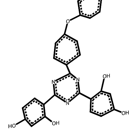 Oc1ccc(-c2nc(-c3ccc(Oc4ccccc4)cc3)nc(-c3ccc(O)cc3O)n2)c(O)c1